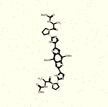 COC(=O)NC(C)C(=O)N1CCC[C@H]1c1ncc(-c2cc3c(OC)c4sc(-c5cnc([C@@H]6CCCN6C(=O)C(C)NC(=O)OC)[nH]5)cc4c(OC)c3s2)[nH]1